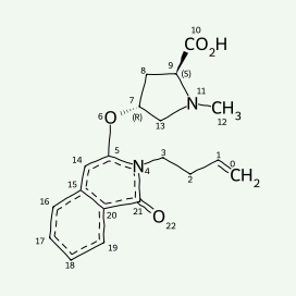 C=CCCn1c(O[C@@H]2C[C@@H](C(=O)O)N(C)C2)cc2ccccc2c1=O